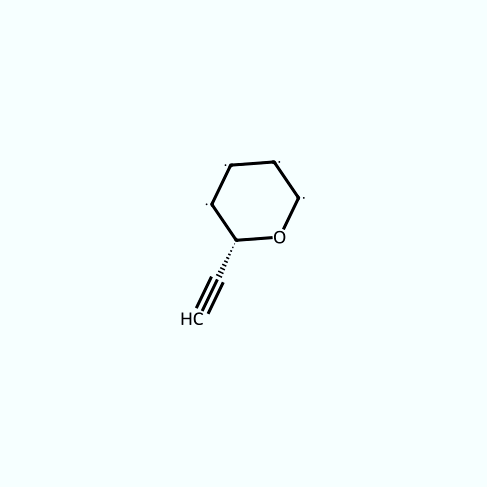 C#C[C@@H]1[CH][CH][CH][CH]O1